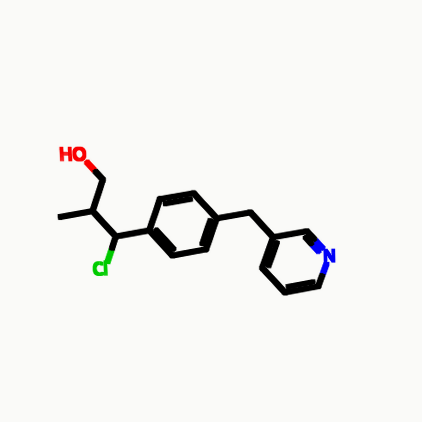 CC(CO)C(Cl)c1ccc(Cc2cccnc2)cc1